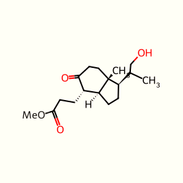 COC(=O)CC[C@@H]1C(=O)CC[C@]2(C)[C@@H](C(C)CO)CC[C@@H]12